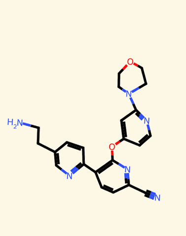 N#Cc1ccc(-c2ccc(CCN)cn2)c(Oc2ccnc(N3CCOCC3)c2)n1